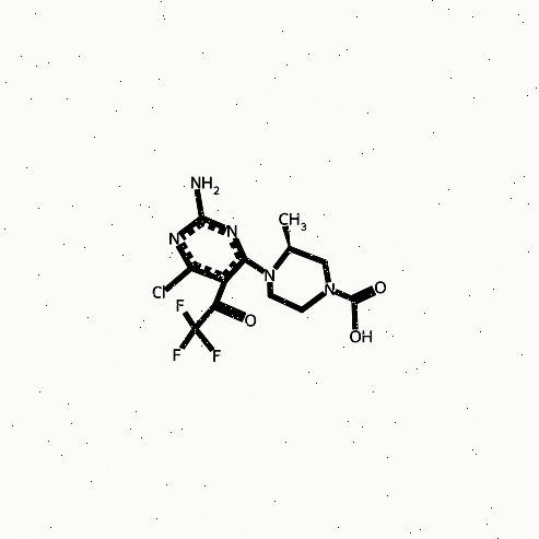 C[C@H]1CN(C(=O)O)CCN1c1nc(N)nc(Cl)c1C(=O)C(F)(F)F